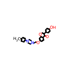 Cc1ccc(N2CCN(CCOc3ccc4c(=O)c(-c5ccc(O)cc5)coc4c3)CC2)cc1